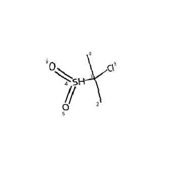 CC(C)(Cl)[SH](=O)=O